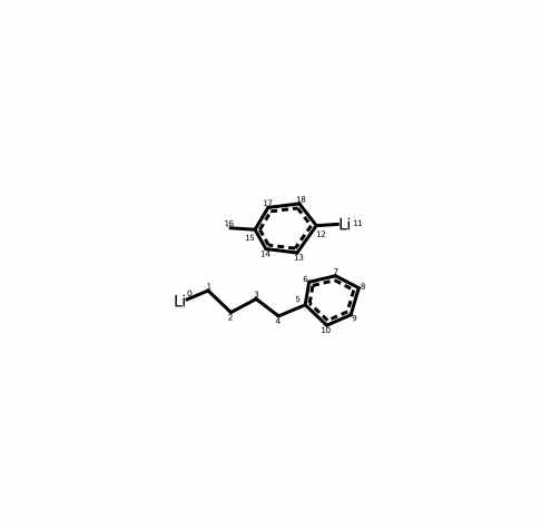 [Li][CH2]CCCc1ccccc1.[Li][c]1ccc(C)cc1